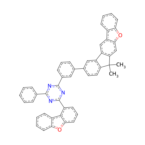 CC1(C)c2ccc(-c3cccc(-c4nc(-c5ccccc5)nc(-c5cccc6oc7ccccc7c56)n4)c3)cc2-c2cc3c(cc21)oc1ccccc13